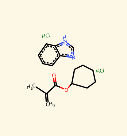 C=C(C)C(=O)OC1CCCCC1.Cl.Cl.c1ccc2[nH]cnc2c1